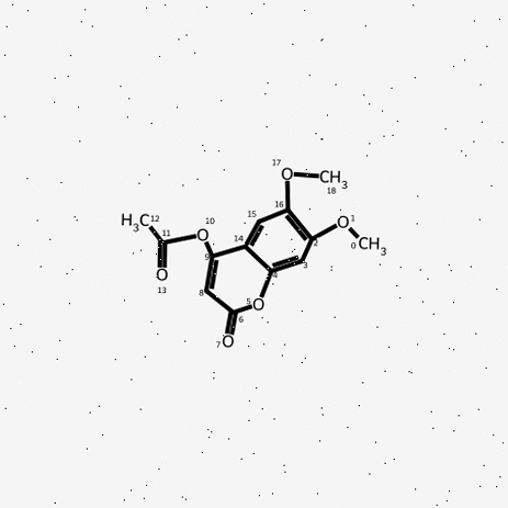 COc1cc2oc(=O)cc(OC(C)=O)c2cc1OC